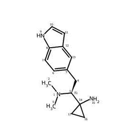 CN(C)[C@@H](Cc1ccc2[nH]ccc2c1)C1(N)CC1